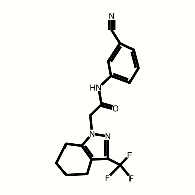 N#Cc1cccc(NC(=O)Cn2nc(C(F)(F)F)c3c2CCCC3)c1